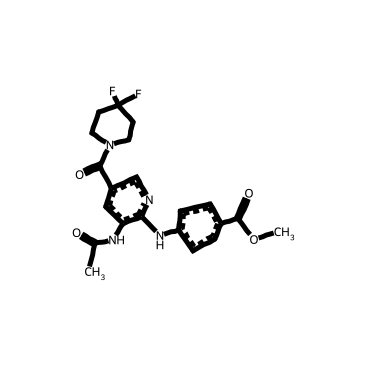 COC(=O)c1ccc(Nc2ncc(C(=O)N3CCC(F)(F)CC3)cc2NC(C)=O)cc1